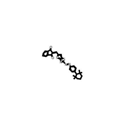 CC1(C)CCCC(C)(C)C1c1ccc(/N=N/c2nc3sc(C=C4C(=O)c5ccccc5C4=O)cc3s2)cc1